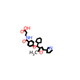 Cc1oc(-c2cccnc2)cc1C(Oc1ccc(C(=O)NCCC(=O)O)cc1)C1CCCCC1